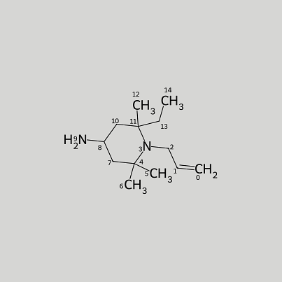 C=CCN1C(C)(C)CC(N)CC1(C)CC